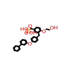 O=C(c1ccc(OCCO)c(Cc2ccc(Oc3cccc(-c4ccccc4)c3)cc2)c1)P(=O)(O)O